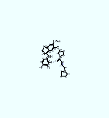 COc1cc2ncnc(Nc3ccc(F)c(Cl)c3F)c2cc1O[C@H]1CCN(C(=O)/C=C/CN2CCCC2)C1